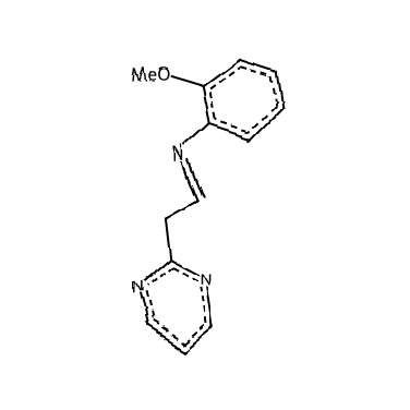 COc1ccccc1N=CCc1ncccn1